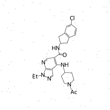 CCn1ncc2c(NC3CCN(C(C)=O)CC3)c(C(=O)NC3Cc4ccc(Cl)cc4C3)cnc21